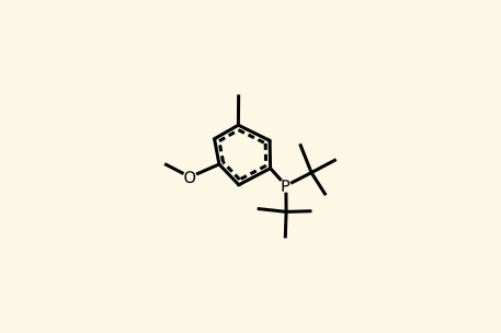 COc1cc(C)cc(P(C(C)(C)C)C(C)(C)C)c1